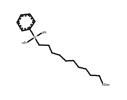 CCCCCCCCCCCCCCCCCCCC[N+](CCC)(CCC)c1ccccc1